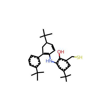 CC(C)(C)c1cccc(C2=C(Nc3cc(C(C)(C)C)cc(CS)c3O)C=CC(C(C)(C)C)C2)c1